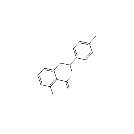 Cc1ccc(C2Cc3cccc(O)c3C(=O)O2)cc1